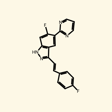 Fc1ccc(C=Cc2n[nH]c3cc(F)c(-c4ncccn4)cc23)cc1